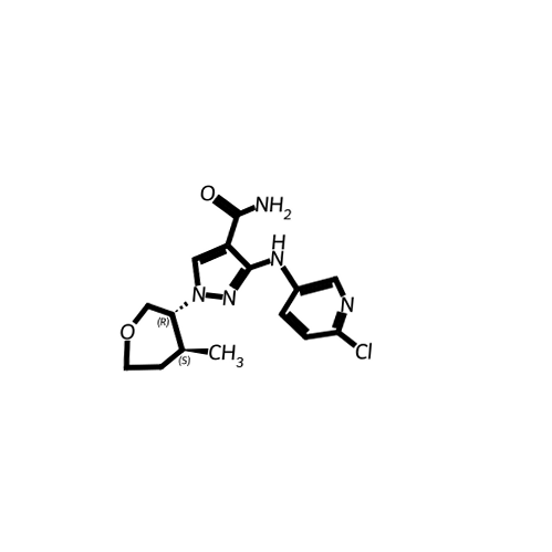 C[C@H]1CCOC[C@@H]1n1cc(C(N)=O)c(Nc2ccc(Cl)nc2)n1